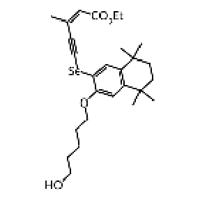 CCOC(=O)C=C(C)C#C[Se]c1cc2c(cc1OCCCCCO)C(C)(C)CCC2(C)C